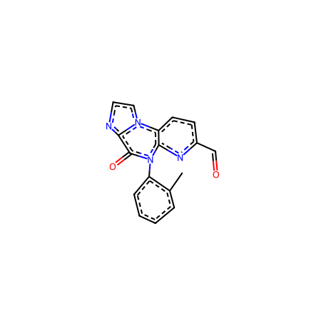 Cc1ccccc1-n1c(=O)c2nccn2c2ccc(C=O)nc21